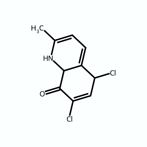 CC1=CC=C2C(Cl)C=C(Cl)C(=O)C2N1